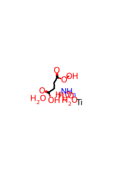 N.O.O.O.O.O=C(O)CCC(=O)OO.[Ti]